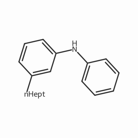 CCCCCCCc1cccc(Nc2ccccc2)c1